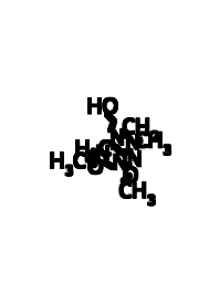 C=C1c2c(nc(OCC)n2Cc2ncc(C)o2)N(C)C(=C)N1CCCO